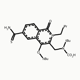 CCCCOc1c(CN(C(=O)O)C(C)(C)C)n(CC(C)C)c(=O)c2ccc(C(N)=S)cc12